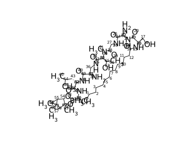 CCCCCCCCCCCCCC(=O)N[C@H](CO)C(=O)N[C@H](N)C(=O)NCC(=O)N(C)[C@H](C(=O)NC[C@@H](N)C(=O)N[C@@H](CC(C)C)C(=O)N[C@@H](C)B1OC2C3CCC(C3(C)C)C2(C)O1)C(C)O